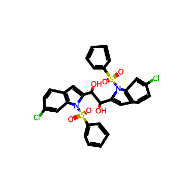 O=S(=O)(c1ccccc1)n1c(C(O)C(O)c2cc3ccc(Cl)cc3n2S(=O)(=O)c2ccccc2)cc2ccc(Cl)cc21